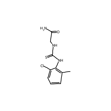 Cc1cccc(Cl)c1NC(=S)NCC(N)=O